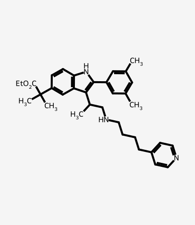 CCOC(=O)C(C)(C)c1ccc2[nH]c(-c3cc(C)cc(C)c3)c(C(C)CNCCCCc3ccncc3)c2c1